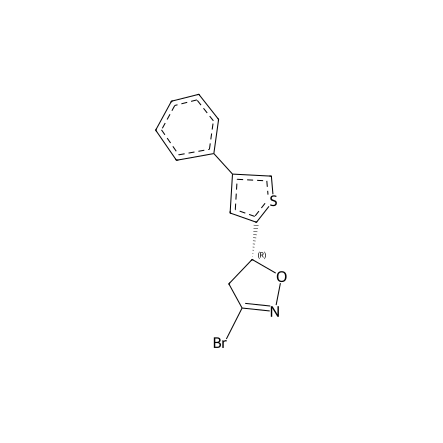 BrC1=NO[C@@H](c2cc(-c3ccccc3)cs2)C1